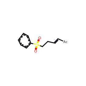 CC(=O)/C=C/CCS(=O)(=O)c1ccccc1